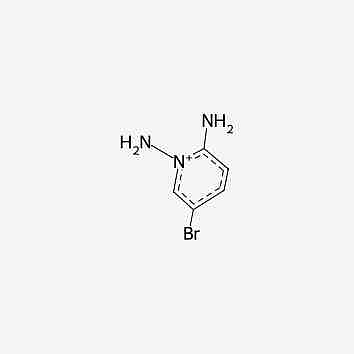 Nc1ccc(Br)c[n+]1N